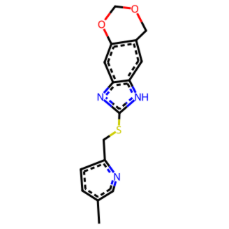 Cc1ccc(CSc2nc3cc4c(cc3[nH]2)COCO4)nc1